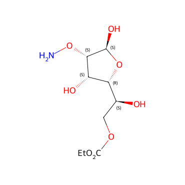 CCOC(=O)OC[C@H](O)[C@H]1O[C@H](O)[C@@H](ON)[C@H]1O